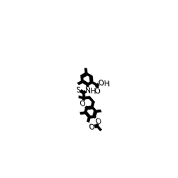 CC(=O)Oc1c(C)c(C)c2c(c1C)CCC(C)(C(=S)Nc1c(C)cc(C)cc1C(=O)O)O2